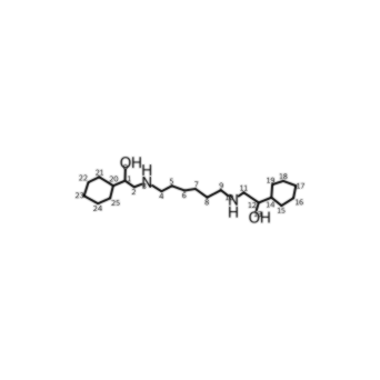 OC(CNCCCCCCNCC(O)C1CCCCC1)C1CCCCC1